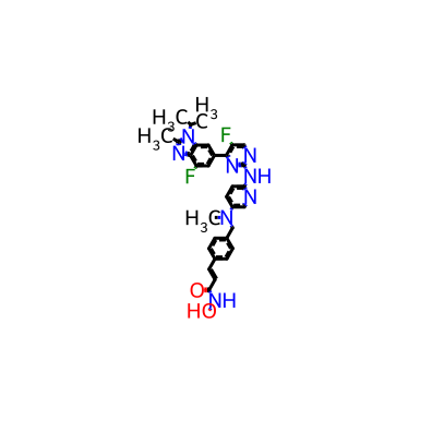 Cc1nc2c(F)cc(-c3nc(Nc4ccc(N(C)Cc5ccc(/C=C/C(=O)NO)cc5)cn4)ncc3F)cc2n1C(C)C